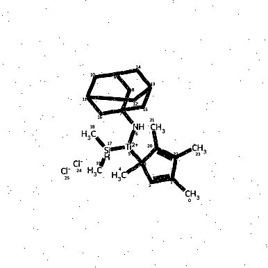 CC1=C[C](C)([Ti+2]([NH]C23CC4CC(CC(C4)C2)C3)[SiH](C)C)C(C)=C1C.[Cl-].[Cl-]